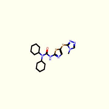 Cn1cnnc1Sc1cnc(NC(=O)N(C2CCCCC2)C2CCCCC2)s1